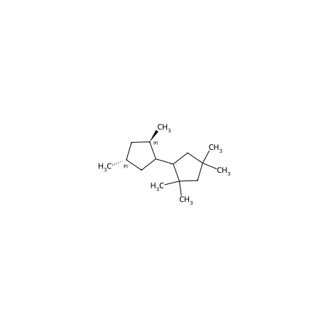 C[C@H]1CC([C]2CC(C)(C)CC2(C)C)[C@H](C)C1